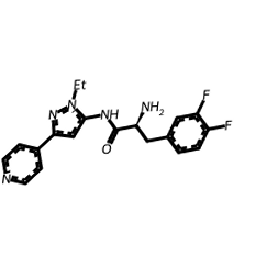 CCn1nc(-c2ccncc2)cc1NC(=O)[C@@H](N)Cc1ccc(F)c(F)c1